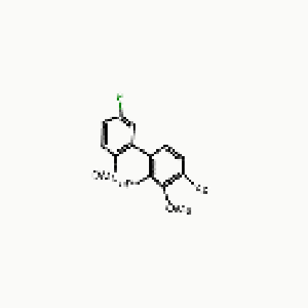 CCCc1c(-c2cc(F)ccc2OC)ccc(C(C)=O)c1OC